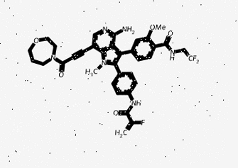 C=C(F)C(=O)Nc1ccc(-c2c(-c3ccc(C(=O)NCC(F)(F)F)c(OC)c3)c3c(N)ncc(C#CC(=O)N4CCCOCC4)c3n2C)cc1